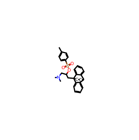 Cc1ccc(S(=O)(=O)OC(CN(C)C)CC23CCC(c4ccccc42)c2ccccc23)cc1